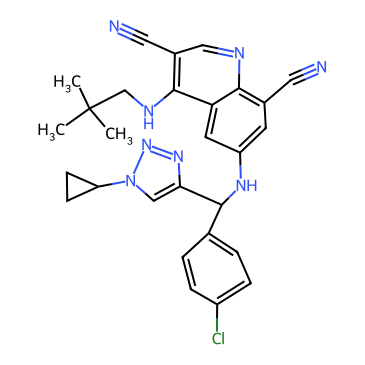 CC(C)(C)CNc1c(C#N)cnc2c(C#N)cc(NC(c3ccc(Cl)cc3)c3cn(C4CC4)nn3)cc12